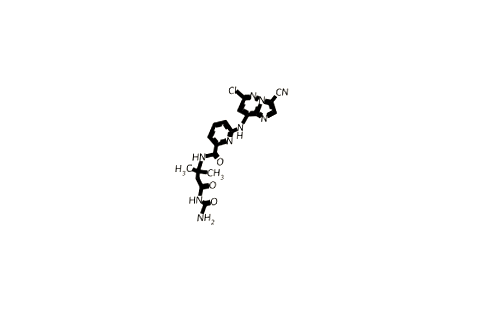 CC(C)(CC(=O)NC(N)=O)NC(=O)c1cccc(Nc2cc(Cl)nn3c(C#N)cnc23)n1